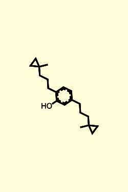 CC1(CCCc2ccc(CCCC3(C)CC3)c(O)c2)CC1